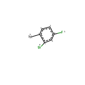 [2H]c1ccc(F)cc1Br